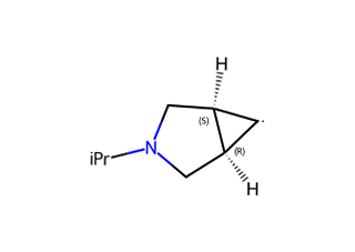 CC(C)N1C[C@H]2[CH][C@H]2C1